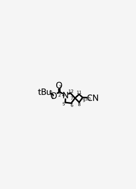 CC(C)(C)OC(=O)N1CCC2(CC(C#N)C2)C1